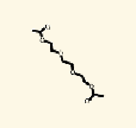 CC(Cl)OCCOCCOCCOC(C)Cl